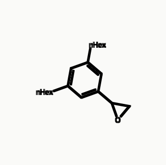 CCCCCCc1cc(CCCCCC)cc(C2CO2)c1